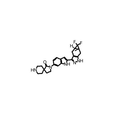 C[C@@]12Cc3[nH]nc(-c4cc5ccc(N6CCC7(CCNCC7)C6=O)cc5[nH]4)c3C[C@@H]1C2(F)F